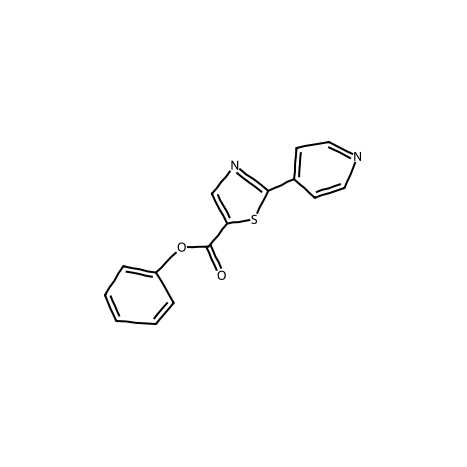 O=C(Oc1ccccc1)c1cnc(-c2ccncc2)s1